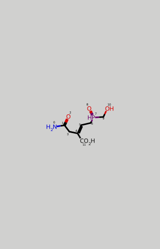 NC(=O)C/C(=C/C[PH](=O)CO)C(=O)O